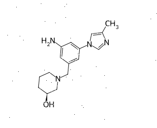 Cc1cn(-c2cc(N)cc(CN3CCC[C@H](O)C3)c2)cn1